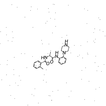 Cc1ccccc1C(=O)NC(C)C(=O)Nc1ccccc1N1CCNCC1